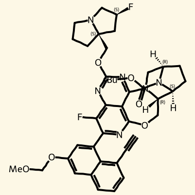 C#Cc1cccc2cc(OCOC)cc(-c3nc4c5c(nc(OC[C@@]67CCCN6C[C@@H](F)C7)nc5c3F)N3C[C@H]5CC[C@@H]([C@@H]3CO4)N5C(=O)OC(C)(C)C)c12